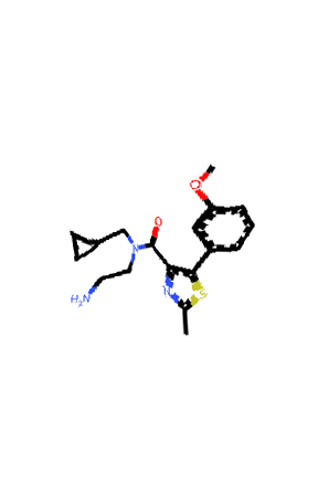 COc1cccc(-c2sc(C)nc2C(=O)N(CCN)CC2CC2)c1